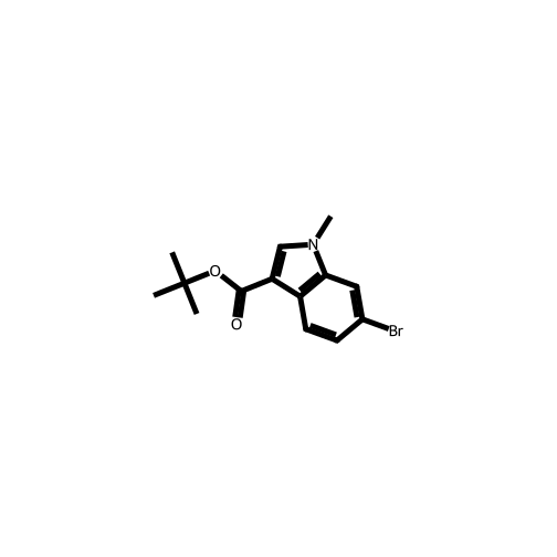 Cn1cc(C(=O)OC(C)(C)C)c2ccc(Br)cc21